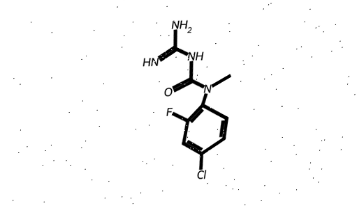 CN(C(=O)NC(=N)N)c1ccc(Cl)cc1F